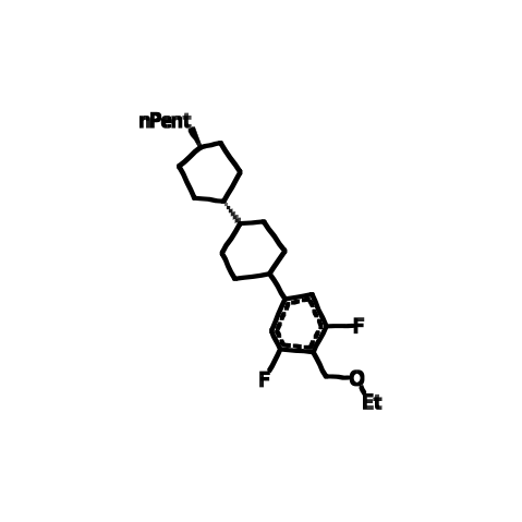 CCCCC[C@H]1CC[C@H](C2CCC(c3cc(F)c(COCC)c(F)c3)CC2)CC1